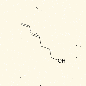 C=CC=CCCCO